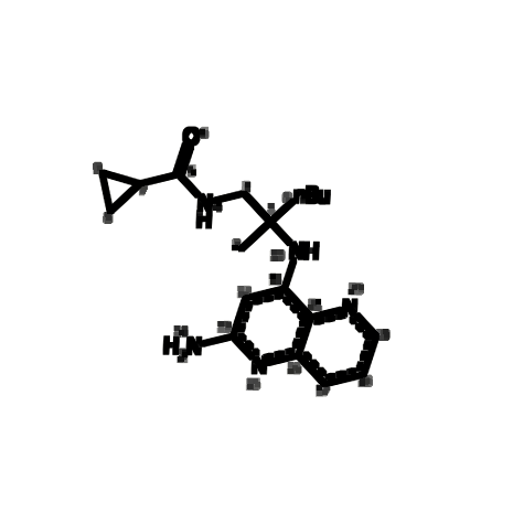 CCCCC(C)(CNC(=O)C1CC1)Nc1cc(N)nc2cccnc12